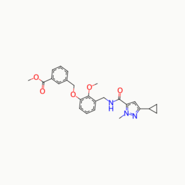 COC(=O)c1cccc(COc2cccc(CNC(=O)c3cc(C4CC4)nn3C)c2OC)c1